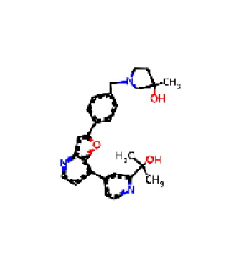 CC1(O)CCN(Cc2ccc(-c3cc4nccc(-c5ccnc(C(C)(C)O)c5)c4o3)cc2)C1